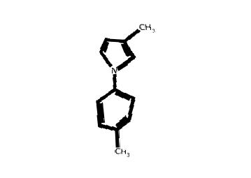 Cc1ccc(-n2ccc(C)c2)cc1